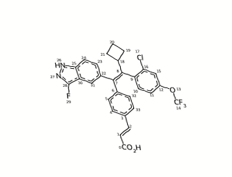 O=C(O)C=Cc1ccc(C(=C(c2ccc(OC(F)(F)F)cc2Cl)C2CCC2)c2ccc3[nH]nc(F)c3c2)cc1